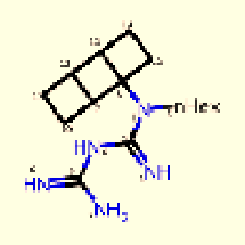 CCCCCCN(C(=N)NC(=N)N)C12C3C4C5C3C1C5C42